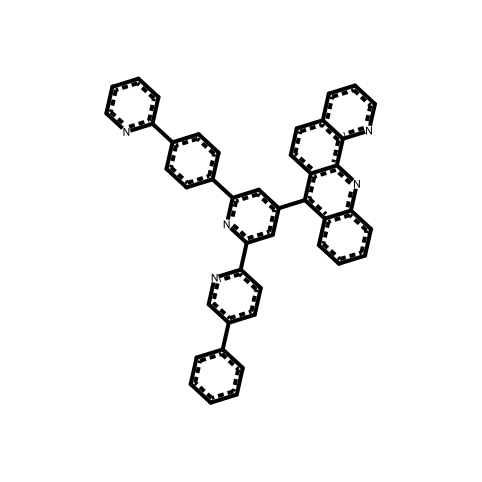 c1ccc(-c2ccc(-c3cc(-c4c5ccccc5nc5c4ccc4cccnc45)cc(-c4ccc(-c5ccccn5)cc4)n3)nc2)cc1